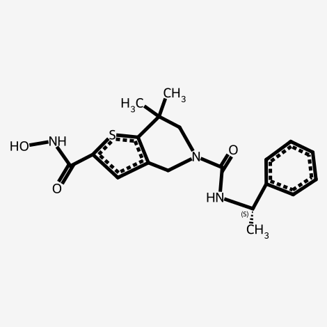 C[C@H](NC(=O)N1Cc2cc(C(=O)NO)sc2C(C)(C)C1)c1ccccc1